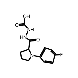 O=C(O)NNC(=O)C1CCCN1c1ccc(F)cc1